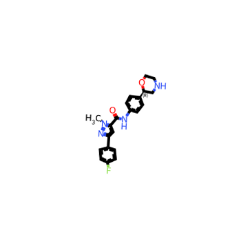 Cn1nc(-c2ccc(F)cc2)cc1C(=O)Nc1ccc([C@@H]2CNCCO2)cc1